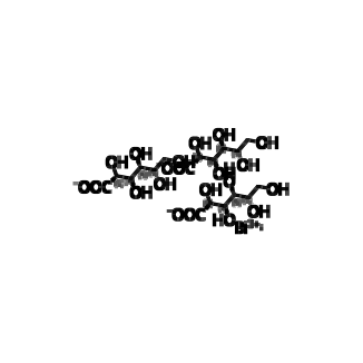 O=C([O-])[C@@H](O)[C@H](O)[C@@H](O)[C@@H](O)CO.O=C([O-])[C@@H](O)[C@H](O)[C@@H](O)[C@@H](O)CO.O=C([O-])[C@@H](O)[C@H](O)[C@@H](O)[C@@H](O)CO.[Bi+3]